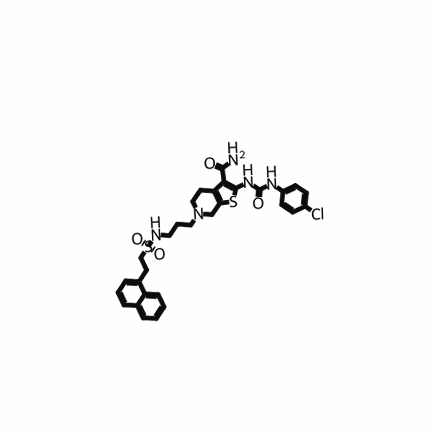 NC(=O)c1c(NC(=O)Nc2ccc(Cl)cc2)sc2c1CCN(CCCNS(=O)(=O)CCc1cccc3ccccc13)C2